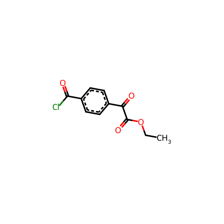 CCOC(=O)C(=O)c1ccc(C(=O)Cl)cc1